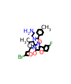 Cc1ccc(C(=O)N(CCN)C(c2nc3c(oc4ccc(F)cc43)c(=O)n2Cc2cc(Br)co2)C(C)C)cc1